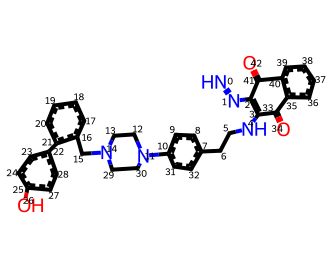 N=NC1=C(NCCc2ccc(N3CCN(Cc4ccccc4-c4ccc(O)cc4)CC3)cc2)C(=O)c2ccccc2C1=O